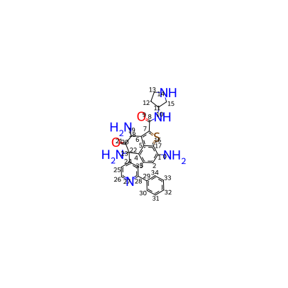 Nc1ccc2c3c(c(C(=O)NC4CCNC4)sc13)C(N)C(=O)C2(N)c1ccnc(-c2ccccc2)c1